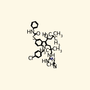 CN/C(=N\C#N)NCC(C)(C)Cc1c(C(=O)CC(C)(C)C)c2cc(SC(=O)Nc3ccccc3)ccc2n1Cc1ccc(Cl)cc1